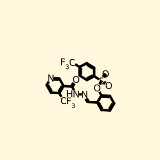 O=C(NN=Cc1ccccc1OS(=O)(=O)c1ccc(C(F)(F)F)cc1)c1cnccc1C(F)(F)F